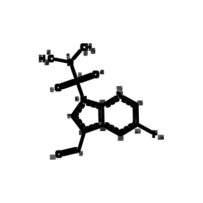 CN(C)S(=O)(=O)n1cc(C=O)c2cc(F)cnc21